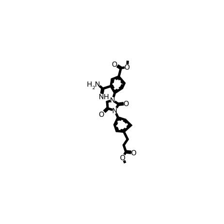 COC(=O)CCc1ccc(N2C(=O)CN(c3ccc(C(=O)OC)cc3C(=N)N)C2=O)cc1